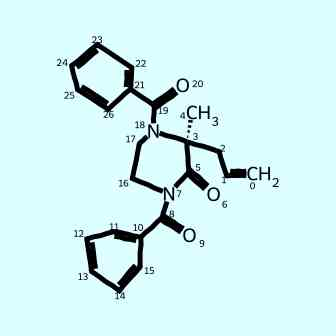 C=CC[C@@]1(C)C(=O)N(C(=O)c2ccccc2)CCN1C(=O)c1ccccc1